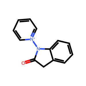 O=C1Cc2ccccc2N1[n+]1ccccc1